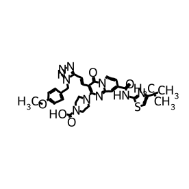 COc1ccc(Cn2nnnc2C=Cc2c(N3CCN(C(=O)O)CC3)nc3cc(C(=O)Nc4nc(C(C)(C)C)cs4)ccn3c2=O)cc1